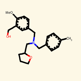 COc1ccc(CN(Cc2ccc(C)cc2)CC2CCCO2)cc1CO